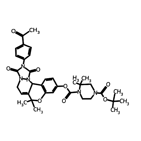 CC(=O)c1ccc(-n2c(=O)n3n(c2=O)C2C(=CC3)C(C)(C)Oc3cc(OC(=O)N4CCN(C(=O)OC(C)(C)C)CC4(C)C)ccc32)cc1